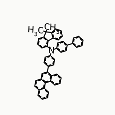 CC1(C)c2ccccc2-c2c(N(c3ccc(-c4ccccc4)cc3)c3ccc(-c4cc5ccc6ccccc6c5c5ccccc45)cc3)cccc21